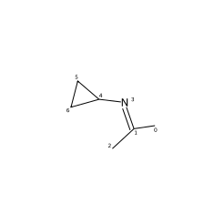 CC(C)=NC1CC1